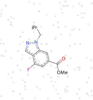 COC(=O)c1cc(I)c2cnn(CC(C)C)c2c1